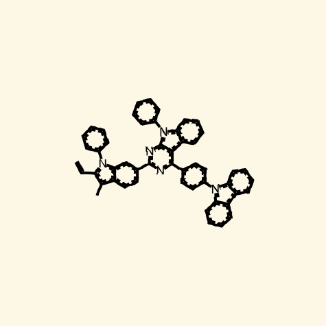 C=Cc1c(C)c2ccc(-c3nc(-c4ccc(-n5c6ccccc6c6ccccc65)cc4)c4c5ccccc5n(-c5ccccc5)c4n3)cc2n1-c1ccccc1